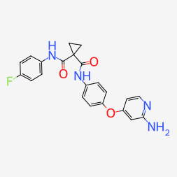 Nc1cc(Oc2ccc(NC(=O)C3(C(=O)Nc4ccc(F)cc4)CC3)cc2)ccn1